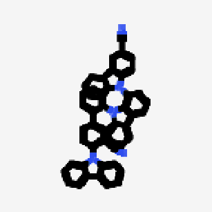 N#Cc1ccc2c(c1)c1ccccc1n2-c1cccc2c3ccccc3n(-c3ccccc3-c3ccc(-n4c5ccccc5c5ccccc54)c(C#N)c3)c12